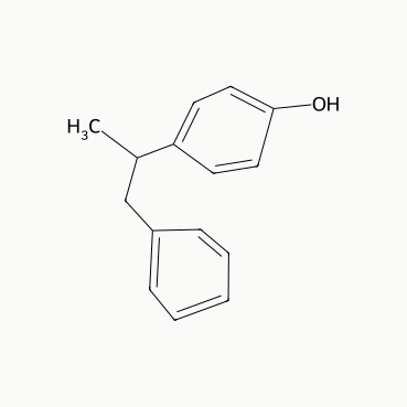 CC(Cc1ccccc1)c1ccc(O)cc1